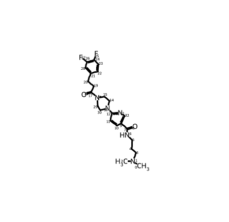 CN(C)CCCNC(=O)c1ccc(N2CCN(C(=O)CCc3ccc(F)c(F)c3)CC2)nc1